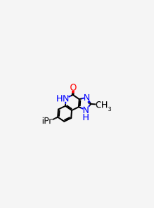 Cc1nc2c(=O)[nH]c3cc(C(C)C)ccc3c2[nH]1